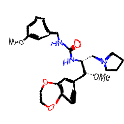 COc1cccc(CNC(=O)N[C@H](CN2CCCC2)[C@H](OC)c2ccc3c(c2)OCCO3)c1